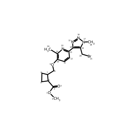 COC(=O)C1CCC1COc1ccc(-c2nnn(C)c2CBr)nc1C